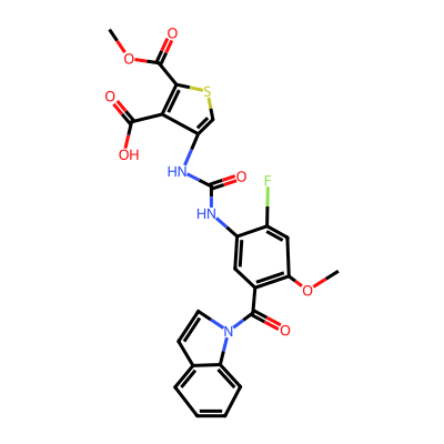 COC(=O)c1scc(NC(=O)Nc2cc(C(=O)n3ccc4ccccc43)c(OC)cc2F)c1C(=O)O